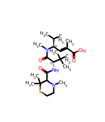 CC(=C[C@H](C(C)C)N(C)C(=O)[C@@H](NC(=O)C1N(C)CCSC1(C)C)C(C)(C)C)C(=O)O